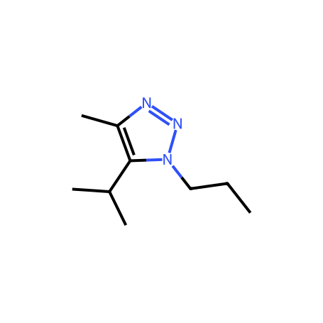 CCCn1nnc(C)c1C(C)C